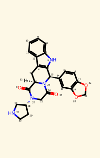 O=C1[C@H]2Cc3c([nH]c4ccccc34)[C@@H](c3ccc4c(c3)OCO4)N2C(=O)CN1[C@@H]1CCNC1